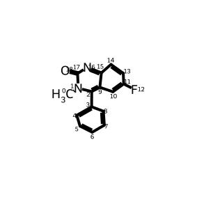 Cn1c(-c2ccccc2)c2cc(F)ccc2nc1=O